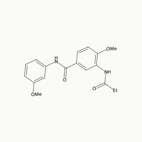 CCC(=O)Nc1cc(C(=O)Nc2cccc(OC)c2)ccc1OC